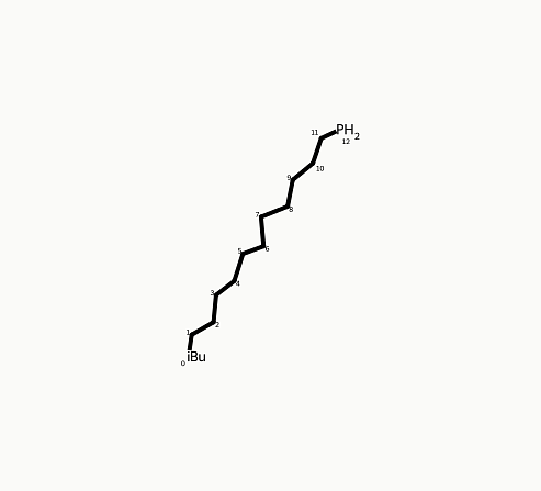 CCC(C)CCCCCCCCCCCP